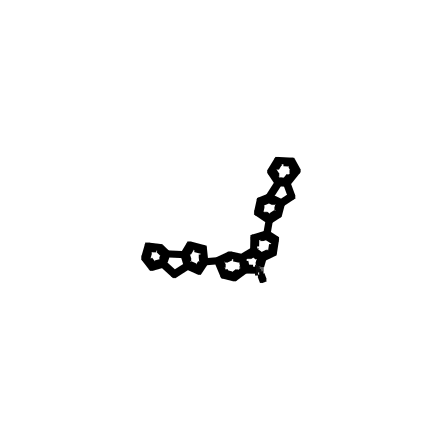 Cn1c2ccc(-c3ccc4c(c3)Cc3ccccc3-4)cc2c2cc(-c3ccc4c(c3)Cc3ccccc3-4)ccc21